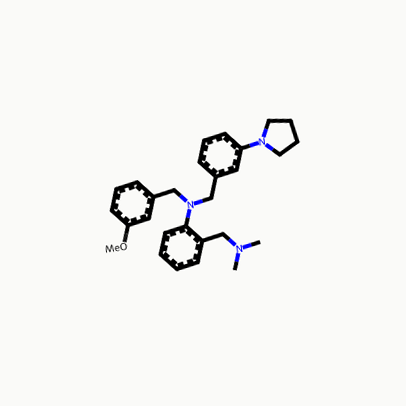 COc1cccc(CN(Cc2cccc(N3CCCC3)c2)c2ccccc2CN(C)C)c1